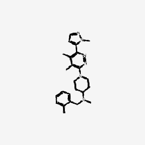 Cc1ccccc1CN(C)C1CCN(c2nnc(-c3ccnn3C)c(C)c2C)CC1